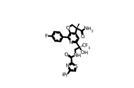 CC(C)c1csc(C(=O)NC[C@](O)(c2cc3c(c(-c4ccc(F)cc4)n2)OC[C@]3(C)C(N)=O)C(F)(F)F)n1